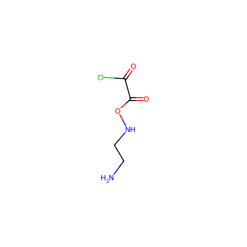 NCCNOC(=O)C(=O)Cl